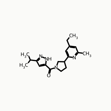 CCc1cc(C)nc(C2CCN(C(=O)c3cc(C(C)C)n[nH]3)C2)c1